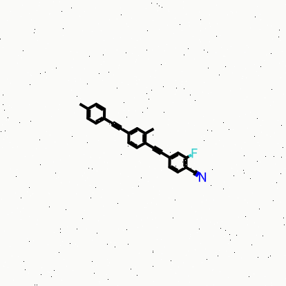 Cc1ccc(C#Cc2ccc(C#Cc3ccc(C#N)c(F)c3)c(C)c2)cc1